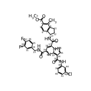 COC(=O)c1ccc2c(c1C)CC[C@@H]2NC(=O)c1cc(C(=O)NCc2ccc(F)c(F)c2)nc2c(C(=O)Nc3cccc(Cl)c3)cnn12